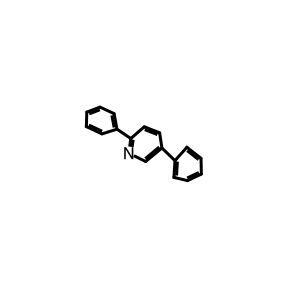 c1ccc(-c2ccc(-c3ccccc3)nc2)cc1